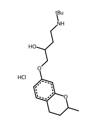 CC1CCc2ccc(OCC(O)CCNC(C)(C)C)cc2O1.Cl